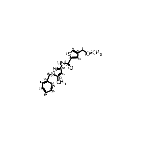 COCc1csc(C(=O)Nc2cc(C)n(Cc3ccccn3)n2)c1